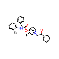 CCc1ccccc1NC(C(=O)O[C@H]1C[N+]2(CC(=O)c3ccccc3)CCC1CC2)c1ccccc1